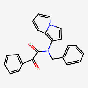 O=C(C(=O)N(Cc1ccccc1)c1ccn2ccccc12)c1ccccc1